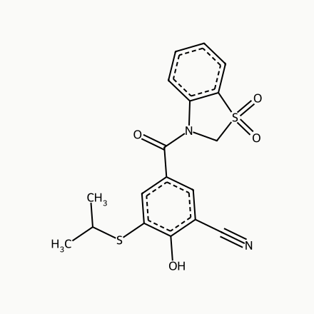 CC(C)Sc1cc(C(=O)N2CS(=O)(=O)c3ccccc32)cc(C#N)c1O